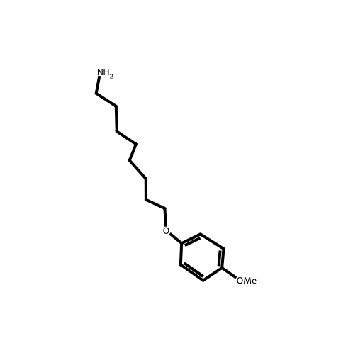 COc1ccc(OCCCCCCCCN)cc1